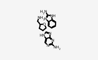 NCC1CCCO1.Nc1nc2ccccc2[nH]1.Nc1ncc2[nH]cnc2n1